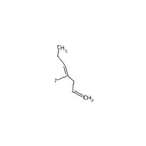 C=CCC(I)=CCC